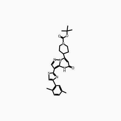 Cc1ccc(C)c(-c2csc(-c3cnn4c(C5CCN(C(=O)OC(C)(C)C)CC5)cc(=O)[nH]c34)n2)c1